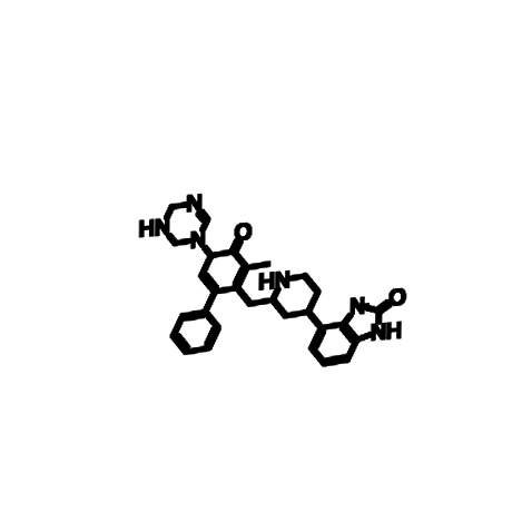 CC1=C(CC2CC(c3cccc4c3[N]C(=O)N4)CCN2)C(c2ccccc2)=CC(N2C=NCNC2)C1=O